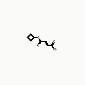 O=C(O)/C=C/C(=O)OC1CCC1